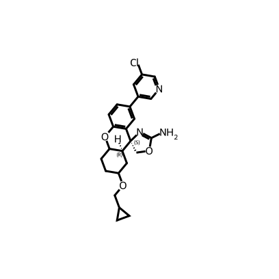 NC1=N[C@]2(CO1)c1cc(-c3cncc(Cl)c3)ccc1OC1CCC(OCC3CC3)C[C@@H]12